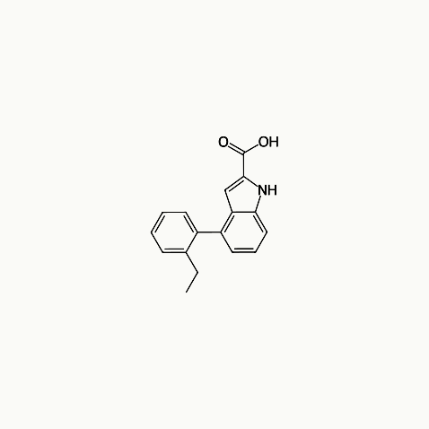 CCc1ccccc1-c1cccc2[nH]c(C(=O)O)cc12